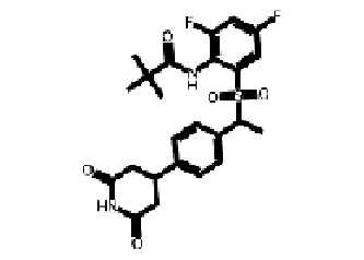 CC(c1ccc(C2CC(=O)NC(=O)C2)cc1)S(=O)(=O)c1cc(F)cc(F)c1NC(=O)C(C)(C)C